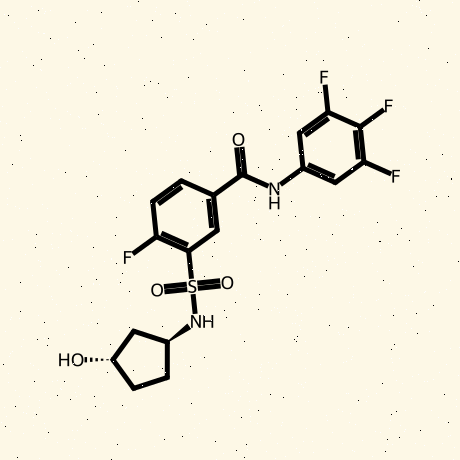 O=C(Nc1cc(F)c(F)c(F)c1)c1ccc(F)c(S(=O)(=O)N[C@H]2CC[C@H](O)C2)c1